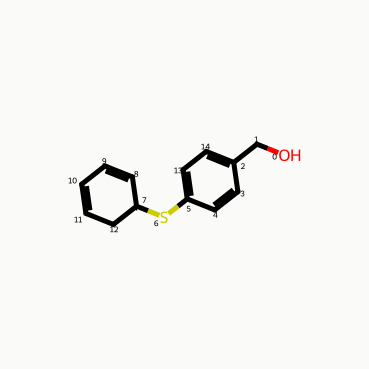 OCc1ccc(S[C]2C=CC=CC2)cc1